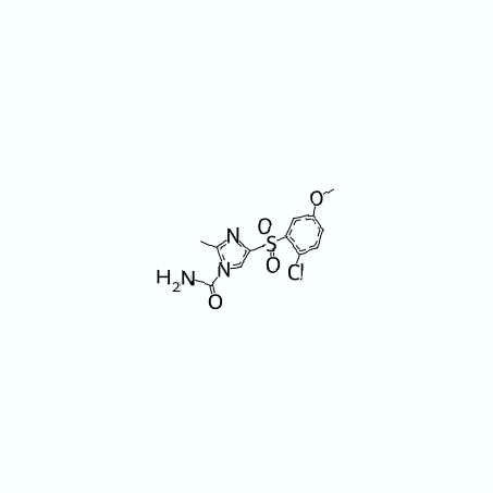 COc1ccc(Cl)c(S(=O)(=O)c2cn(C(N)=O)c(C)n2)c1